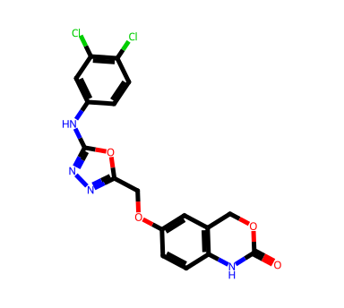 O=C1Nc2ccc(OCc3nnc(Nc4ccc(Cl)c(Cl)c4)o3)cc2CO1